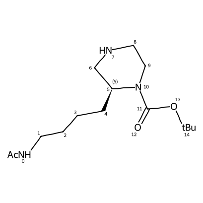 CC(=O)NCCCC[C@H]1CNCCN1C(=O)OC(C)(C)C